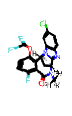 [2H]C([2H])([2H])N1C(=O)c2c(F)ccc(OC(F)F)c2[C@H]2C[C@@H]1c1nc3ccc(Cl)cc3n12